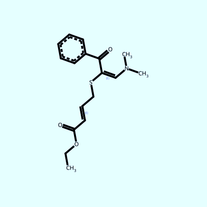 CCOC(=O)/C=C/CS/C(=C/N(C)C)C(=O)c1ccccc1